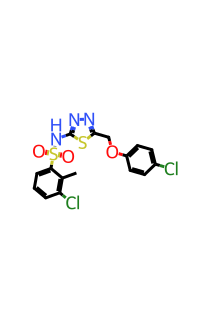 Cc1c(Cl)cccc1S(=O)(=O)Nc1nnc(COc2ccc(Cl)cc2)s1